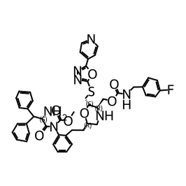 COC(=O)N(C(=O)[C@@H](N)C(c1ccccc1)c1ccccc1)c1ccccc1CC[C@@H]1CN[C@H](COC(=O)NCc2ccc(F)cc2)[C@@H](CSc2nnc(-c3ccncc3)o2)O1